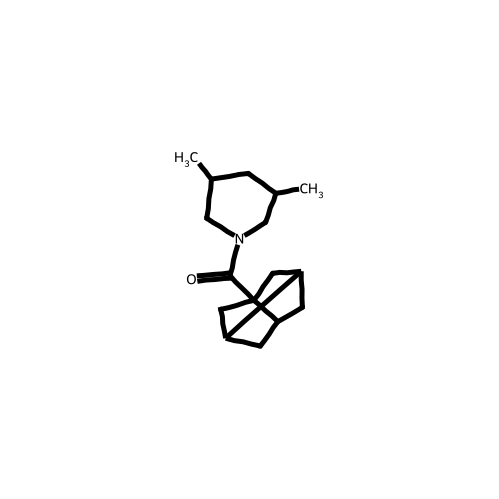 CC1CC(C)CN(C(=O)C23CC4CC2CC4C3)C1